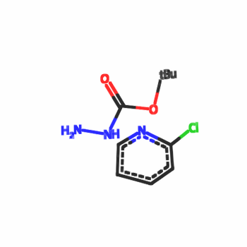 CC(C)(C)OC(=O)NN.Clc1ccccn1